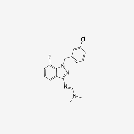 CN(C)C=Nc1nn(Cc2cccc(Cl)c2)c2c(F)cccc12